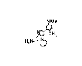 CNc1ccc(C)c(-c2cnc3c(c2)N2CCC=CCC2C(CN)C3)c1